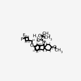 COC1CCC2(CC1)Cc1ccc(OCC3CC(F)(F)C3)cc1C2=N[S+]([O-])C(C)(C)C